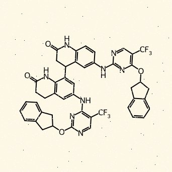 O=C1CC(c2cc(Nc3nc(OC4Cc5ccccc5C4)ncc3C(F)(F)F)cc3c2NC(=O)CC3)c2cc(Nc3ncc(C(F)(F)F)c(OC4Cc5ccccc5C4)n3)ccc2N1